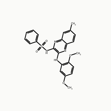 COc1ccc(OC)c(Nc2nc3ccc(C)cc3nc2NS(=O)(=O)c2ccccc2)c1